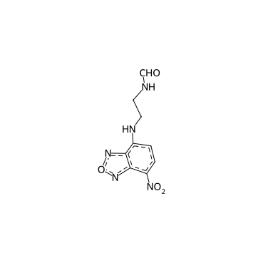 O=CNCCNc1ccc([N+](=O)[O-])c2nonc12